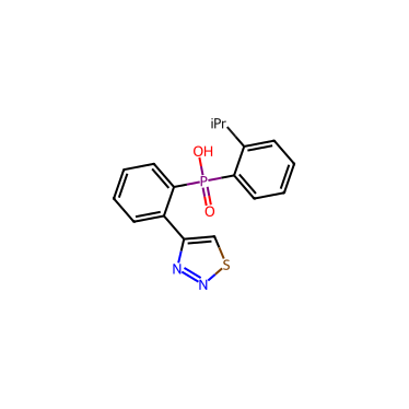 CC(C)c1ccccc1P(=O)(O)c1ccccc1-c1csnn1